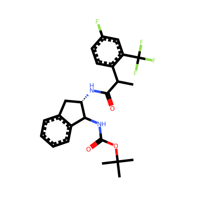 CC(C(=O)N[C@H]1Cc2ccccc2C1NC(=O)OC(C)(C)C)c1ccc(F)cc1C(F)(F)F